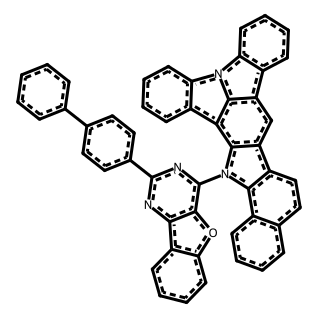 c1ccc(-c2ccc(-c3nc(-n4c5c6ccccc6ccc5c5cc6c7ccccc7n7c8ccccc8c(c54)c67)c4oc5ccccc5c4n3)cc2)cc1